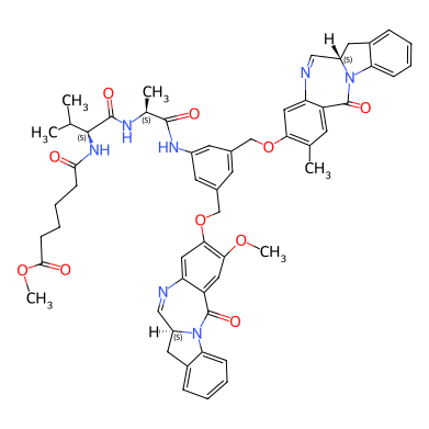 COC(=O)CCCCC(=O)N[C@H](C(=O)N[C@@H](C)C(=O)Nc1cc(COc2cc3c(cc2C)C(=O)N2c4ccccc4C[C@H]2C=N3)cc(COc2cc3c(cc2OC)C(=O)N2c4ccccc4C[C@H]2C=N3)c1)C(C)C